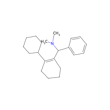 CN(C)C(C1=C(C2CCCCC2)CCCC1)c1ccccc1